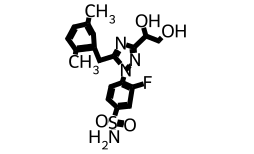 Cc1ccc(C)c(Cc2nc(C(O)CO)nn2-c2ccc(S(N)(=O)=O)cc2F)c1